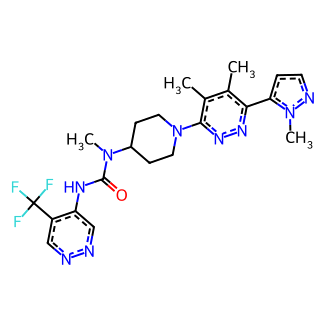 Cc1c(-c2ccnn2C)nnc(N2CCC(N(C)C(=O)Nc3cnncc3C(F)(F)F)CC2)c1C